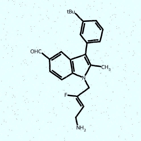 Cc1c(-c2cccc(C(C)(C)C)c2)c2cc(C=O)ccc2n1C/C(F)=C/CN